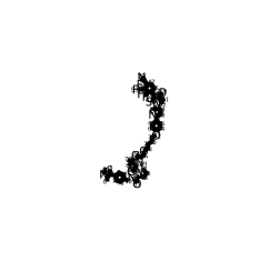 Cc1ncsc1-c1ccc(CNC(=O)C2CCCN2C(=O)C(N(C)C(=O)COCCCCOc2ccc(-c3ccc(N4C(=S)N(c5ccc(C#N)c(C(F)(F)F)c5F)C(=O)C4(C)C)cn3)cc2)C(C)(C)C)cc1